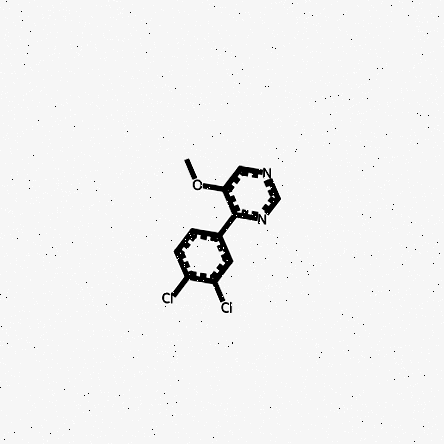 COc1cncnc1-c1ccc(Cl)c(Cl)c1